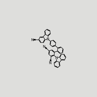 N#Cc1cc(C#N)c(-n2c3ccccc3c3ccccc32)c(-c2ccccc2-c2ccc(-n3c4ccccc4c4cc(C#N)ccc43)cc2)c1